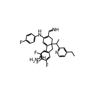 CCc1ccnc(C(C)C2(Cc3cc(F)c(F)c(F)c3)CC(C=N)=C(Nc3ccc(F)cc3)C=C2CCNN)c1